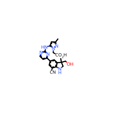 Cc1cc(Nc2nccc(-c3cc(C#N)c4c(c3)C(C)(CO)CN4)n2)n(CC(=O)O)n1